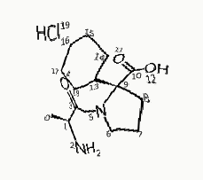 C[C@H](N)C(=O)N1CCC[C@]1(C(=O)O)C1CCCCC1.Cl